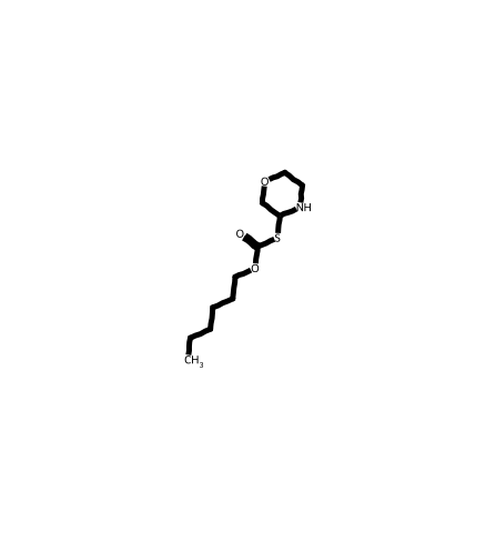 CCCCCCOC(=O)SC1COCCN1